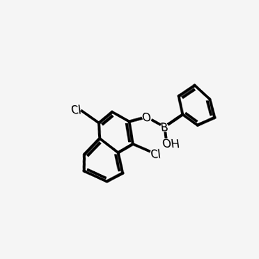 OB(Oc1cc(Cl)c2ccccc2c1Cl)c1ccccc1